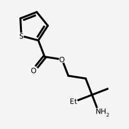 CCC(C)(N)CCOC(=O)c1cccs1